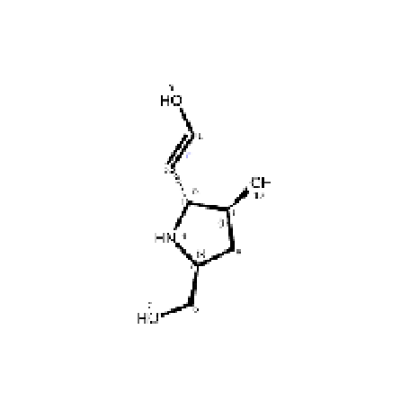 O/C=C/[C@H]1N[C@H](CO)C[C@@H]1O